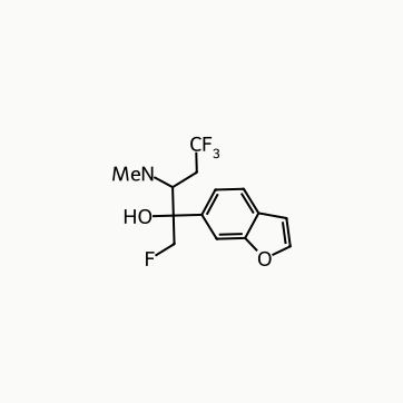 CNC(CC(F)(F)F)C(O)(CF)c1ccc2ccoc2c1